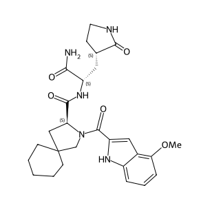 COc1cccc2[nH]c(C(=O)N3CC4(CCCCC4)C[C@H]3C(=O)N[C@@H](C[C@@H]3CCNC3=O)C(N)=O)cc12